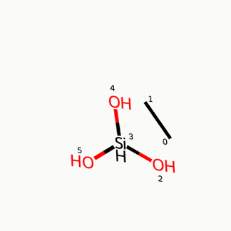 CC.O[SiH](O)O